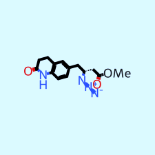 COC(=O)C[C@@H](Cc1ccc2c(c1)CCC(=O)N2)N=[N+]=[N-]